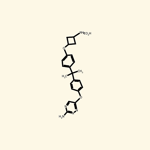 CC(C)(c1ccc(Oc2cnc(N)nn2)cc1)c1ccc(OC2CC(NC(=O)O)C2)cc1